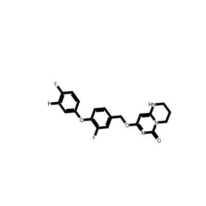 O=c1nc(OCc2ccc(Oc3ccc(F)c(F)c3)c(F)c2)cc2n1CCCN2